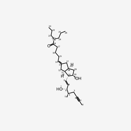 CC#CC[C@@H](C)[C@H](O)/C=C/[C@@H]1[C@H]2C/C(=C/CCCC(=O)N(CCC)CCC)C[C@H]2C[C@H]1O